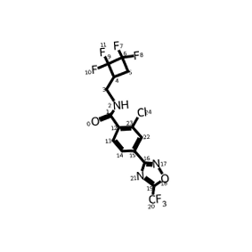 O=C(NCC1CC(F)(F)C1(F)F)c1ccc(-c2noc(C(F)(F)F)n2)cc1Cl